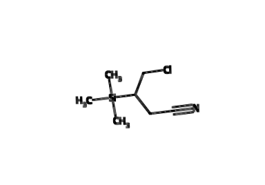 C[Si](C)(C)C(CCl)CC#N